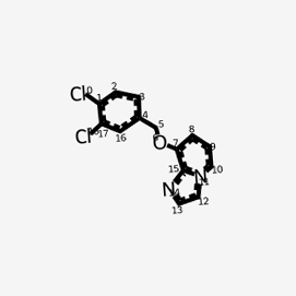 Clc1ccc(COc2cccn3ccnc23)cc1Cl